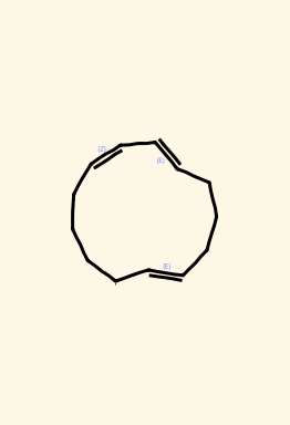 [CH]1/C=C/CCC/C=C/C=C\CCC1